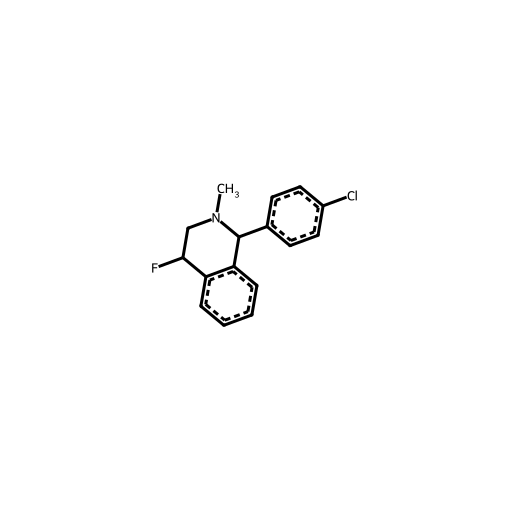 CN1CC(F)c2ccccc2C1c1ccc(Cl)cc1